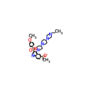 CCCN1CCN(C2CCN(C3CCN(c4c(S(=O)(=O)c5ccc(OCC)cc5)cnc5ccc([S+](C)[O-])cc45)CC3)CC2)CC1